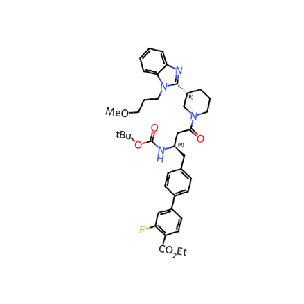 CCOC(=O)c1ccc(-c2ccc(C[C@H](CC(=O)N3CCC[C@@H](c4nc5ccccc5n4CCCOC)C3)NC(=O)OC(C)(C)C)cc2)cc1F